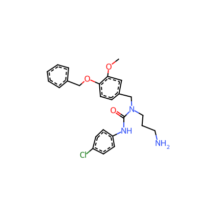 COc1cc(CN(CCCN)C(=O)Nc2ccc(Cl)cc2)ccc1OCc1ccccc1